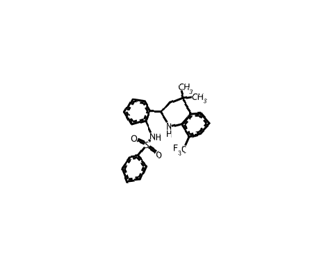 CC1(C)CC(c2ccccc2NS(=O)(=O)c2ccccc2)Nc2c(C(F)(F)F)cccc21